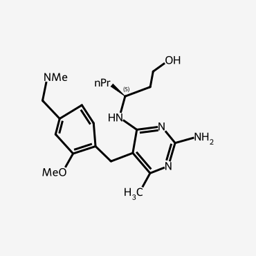 CCC[C@@H](CCO)Nc1nc(N)nc(C)c1Cc1ccc(CNC)cc1OC